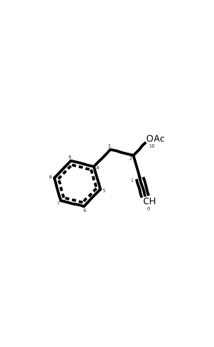 C#CC(Cc1ccccc1)OC(C)=O